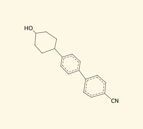 N#Cc1ccc(-c2ccc(C3CCC(O)CC3)cc2)cc1